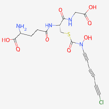 NC(CCC(=O)N[C@@H](CSC(=O)N(O)C#CC#CC#CCl)C(=O)NCC(=O)O)C(=O)O